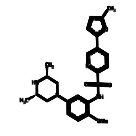 COc1ccc(N2C[C@@H](C)N[C@@H](C)C2)cc1NS(=O)(=O)c1ccc(-c2ccc(C)o2)cn1